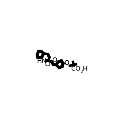 CC(C)(COc1ccc2cc(C3(Cl)C=Cc4ccccc4N3)oc2c1)C(=O)O